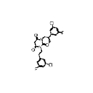 O=C1CC(=O)N(CC(F)c2cc(F)cc(Cl)c2)C(=O)N1CCc1cc(F)cc(Cl)c1